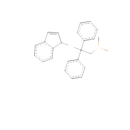 CP(C)C[C]([Zr+3][CH]1C=Cc2ccccc21)(c1ccccc1)c1ccccc1.[Cl-].[Cl-].[Cl-]